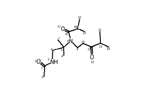 CC(=O)NCC(C)(C)N(CCC(=O)C(C)C)C(=O)C(C)C